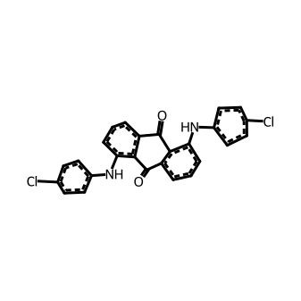 O=C1c2cccc(Nc3ccc(Cl)cc3)c2C(=O)c2cccc(Nc3ccc(Cl)cc3)c21